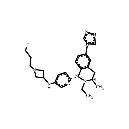 C[C@@H]1Cc2cc(-n3cnnc3)ccc2[C@@H](c2ccc(NC3CN(CCCF)C3)cn2)N1CC(F)(F)F